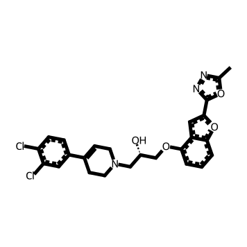 Cc1nnc(-c2cc3c(OC[C@@H](O)CN4CC=C(c5ccc(Cl)c(Cl)c5)CC4)cccc3o2)o1